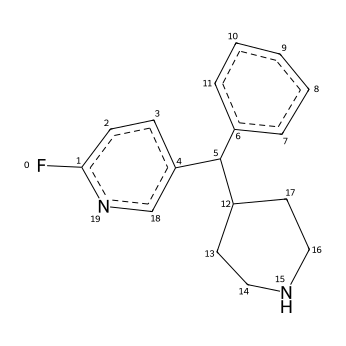 Fc1ccc(C(c2ccccc2)C2CCNCC2)cn1